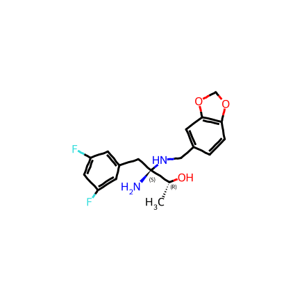 C[C@@H](O)[C@](N)(Cc1cc(F)cc(F)c1)NCc1ccc2c(c1)OCO2